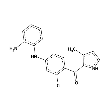 Cc1cc[nH]c1C(=O)c1ccc(Nc2ccccc2N)cc1Cl